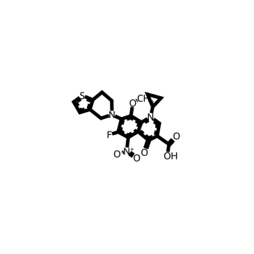 COc1c(N2CCc3sccc3C2)c(F)c([N+](=O)[O-])c2c(=O)c(C(=O)O)cn(C3CC3)c12